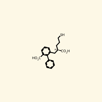 O=C(O)c1cccc(C[C@@H](CCCS)C(=O)O)c1-c1ccccc1